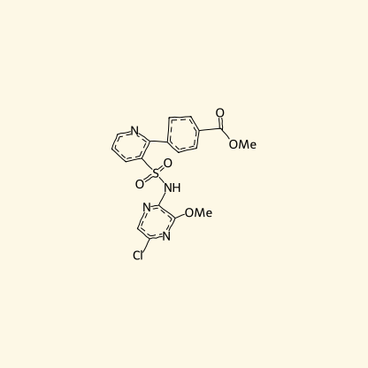 COC(=O)c1ccc(-c2ncccc2S(=O)(=O)Nc2ncc(Cl)nc2OC)cc1